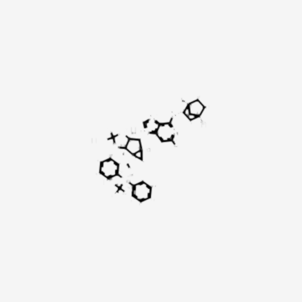 CC1(C)O[C@H]2[C@H](n3cnc4c(N[C@H]5C[C@H]6CC[C@@H]5C6)nc(Cl)cc43)[C@H]3C[C@@]3(CO[Si](c3ccccc3)(c3ccccc3)C(C)(C)C)[C@H]2O1